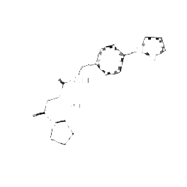 C=C([C@H](O)[C@@H](O)C(=O)N[C@H](C)c1ccc(-n2cccn2)cc1)N1CCCC1